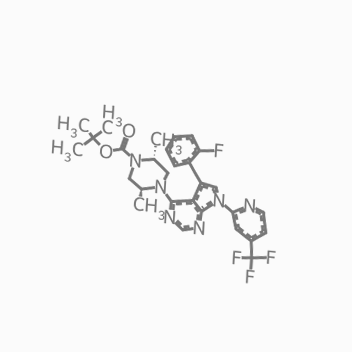 C[C@@H]1CN(c2ncnc3c2c(-c2ccccc2F)cn3-c2cc(C(F)(F)F)ccn2)[C@@H](C)CN1C(=O)OC(C)(C)C